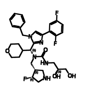 O=C(NC[C@H](O)CO)N(C[C@@H]1CNC[C@@H]1F)[C@@H](c1nc(-c2cc(F)ccc2F)cn1Cc1ccccc1)C1CCOCC1